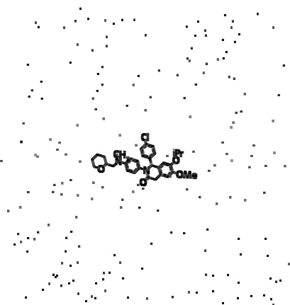 COc1cc2c(cc1OC(C)C)[C@H](c1ccc(Cl)cc1)N(c1ccc(N(C)CC3CCCCO3)cc1)C(=O)C2